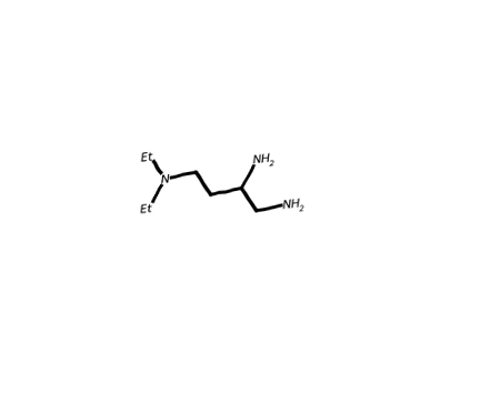 CCN(CC)CCC(N)CN